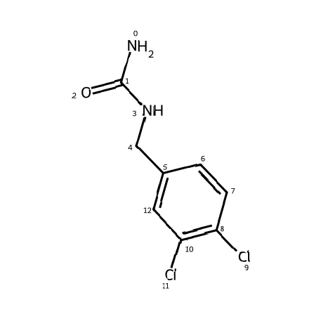 NC(=O)NCc1ccc(Cl)c(Cl)c1